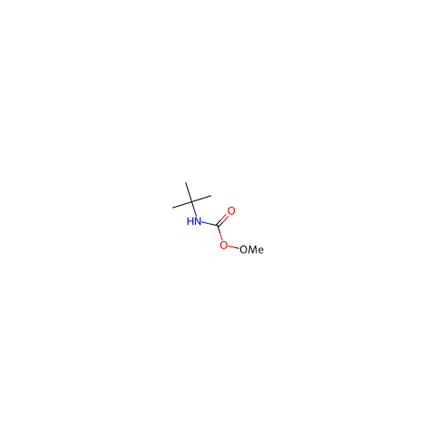 COOC(=O)NC(C)(C)C